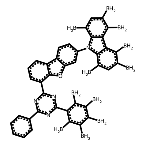 Bc1cc(B)c2c(c1B)c1c(B)c(B)cc(B)c1n2-c1ccc2c(c1)oc1c(-c3nc(-c4ccccc4)nc(-c4c(B)c(B)c(B)c(B)c4B)n3)cccc12